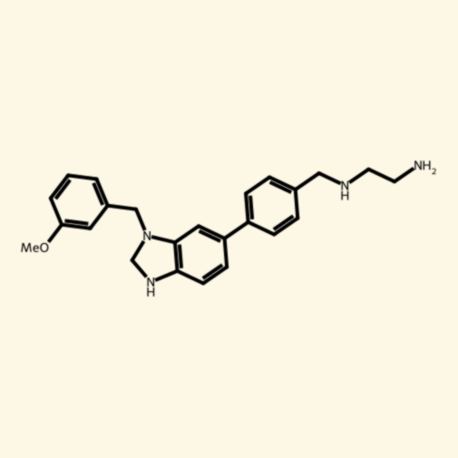 COc1cccc(CN2CNc3ccc(-c4ccc(CNCCN)cc4)cc32)c1